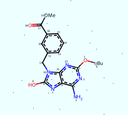 CCCCOc1nc(N)c2nc(O)n(Cc3cccc(C(=O)OC)c3)c2n1